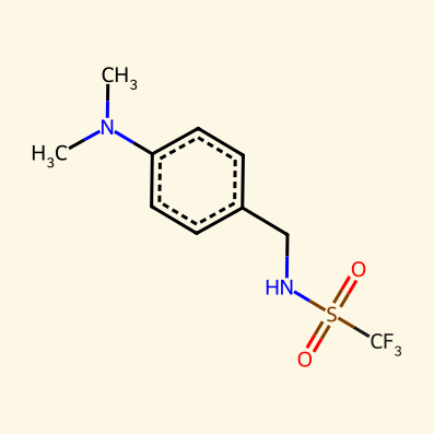 CN(C)c1ccc(CNS(=O)(=O)C(F)(F)F)cc1